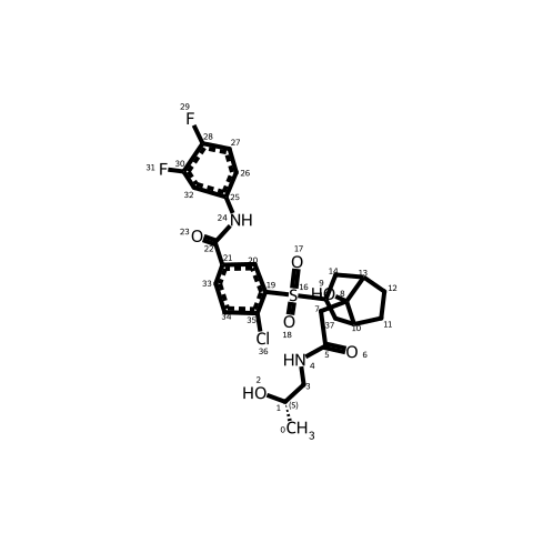 C[C@H](O)CNC(=O)CC1(O)C2CCC1CC(S(=O)(=O)c1cc(C(=O)Nc3ccc(F)c(F)c3)ccc1Cl)C2